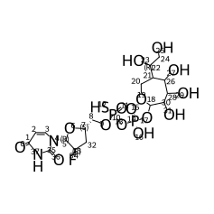 O=c1ccn([C@@H]2O[C@H](COP(=O)(S)OP(=O)(O)OC3OCC([C@@H](O)CO)C(O)C(O)C3O)C[C@H]2F)c(=O)[nH]1